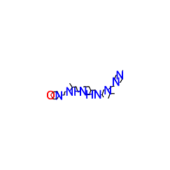 CC(CCN1CCC(CNC(C)CN(CCN2CCN(C)CC2)C(C)C)CC1)NCCN1CCOCC1